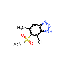 CC(=O)NS(=O)(=O)c1c(C)cc2nn[nH]c2c1C